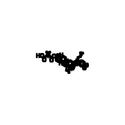 C=C(C)[C@@H]1CC[C@]2(NC[C@@H](CCSC)N3CCS(=O)(=O)CC3)CC[C@]3(C)[C@H](CC[C@@H]4[C@@]5(C)CC[C@H](OC(=O)[C@H]6[C@@H](C(=O)O)C6(C)C)C(C)(C)[C@@H]5CC[C@]43C)[C@@H]12